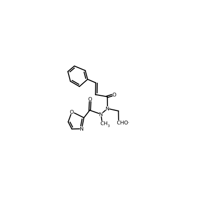 CN(C(=O)c1ncco1)N(C[C]=O)C(=O)C=Cc1ccccc1